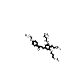 CCCCOc1cc(C=CC(=O)c2ccc(OCC)cc2)cc(OCCCC)c1CCC